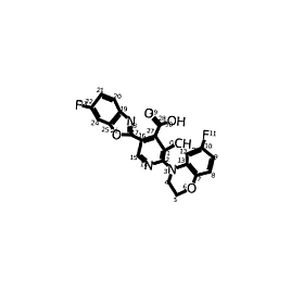 Cc1c(N2CCOc3ccc(F)cc32)ncc(-c2nc3ccc(F)cc3o2)c1C(=O)O